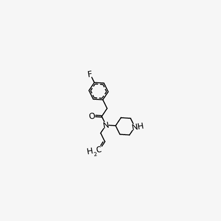 C=CCN(C(=O)Cc1ccc(F)cc1)C1CCNCC1